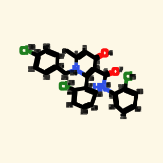 Cc1cc(=O)c(C(=O)Nc2ccccc2Cl)c(-c2ccccc2Cl)n1Cc1ccc(Cl)cc1